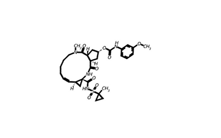 COc1cccc(NC(=O)O[C@@H]2C[C@H]3C(=O)N[C@]4(C(=O)NS(=O)(=O)C5(C)CC5)C[C@H]4/C=C\CCCCN(C)C(=O)[C@@H]3C2)c1